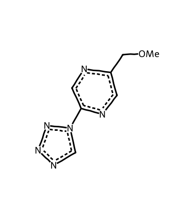 COCc1cnc(-n2cnnn2)cn1